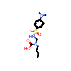 CCCCN(CNS(=O)(=O)c1ccc(N(C)C)cc1)C(=O)O